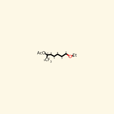 CCOCCCCCC(OC(C)=O)C(F)(F)F